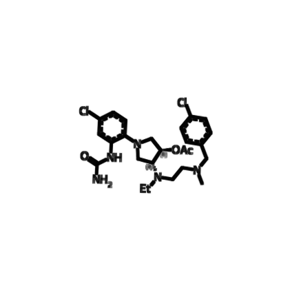 CCN(CCN(C)Cc1ccc(Cl)cc1)[C@@H]1CN(c2ccc(Cl)cc2NC(N)=O)C[C@H]1OC(C)=O